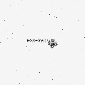 CC(CCCCCCCCCCCCC#CCCCCO)O[Si](c1ccccc1)(c1ccccc1)C(C)(C)C